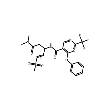 CN(C)C(=O)CC(/C=C/S(C)(=O)=O)NC(=O)c1cnc(C(C)(F)F)nc1Oc1ccccc1